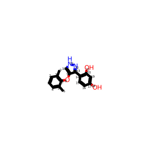 Cc1cccc(C)c1Oc1c[nH]nc1-c1ccc(O)cc1O